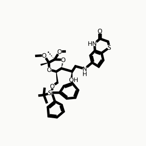 CO[C@@]1(C)O[C@H]([C@H](O)CNc2ccc3c(c2)NC(=O)CS3)[C@@H](CO[Si](c2ccccc2)(c2ccccc2)C(C)(C)C)O[C@]1(C)OC